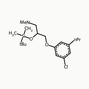 CCCc1cc(Cl)cc(OCC(CNC)O[Si](C)(C)C(C)(C)C)c1